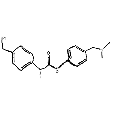 CC(C)Cc1ccc([C@@H](C)C(=O)Nc2ccc(CN(C)C)cc2)cc1